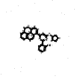 Oc1ccccc1-c1nc(OC2CCCC2)cc(C2=CC=C3CCc4cccc5c4C3C2C=C5)n1